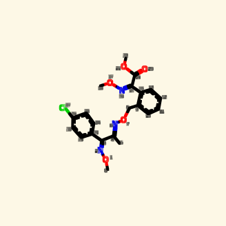 CO/N=C(\C(C)=N\OCc1ccccc1/C(=N/OC)C(=O)OC)c1ccc(Cl)cc1